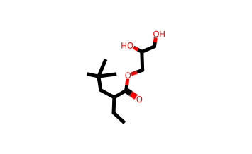 CCC(CC(C)(C)C)C(=O)OCC(O)CO